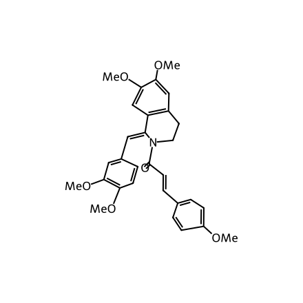 COc1ccc(/C=C/C(=O)N2CCc3cc(OC)c(OC)cc3/C2=C/c2ccc(OC)c(OC)c2)cc1